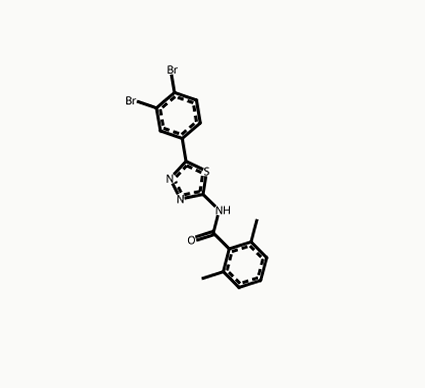 Cc1cccc(C)c1C(=O)Nc1nnc(-c2ccc(Br)c(Br)c2)s1